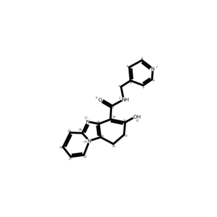 O=C(NCc1ccncc1)C1=C(O)CCc2c1nc1ccccn21